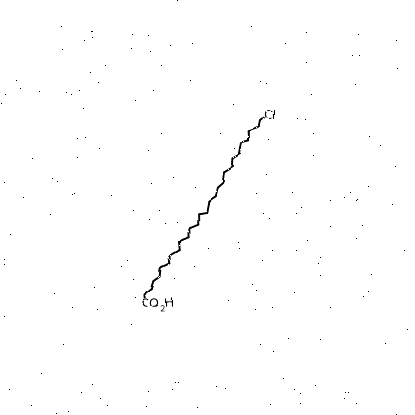 O=C(O)CCCCCCCCCCCCCCCCCCCCCCCCCCCCl